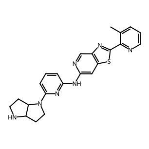 Cc1cccnc1-c1nc2cnc(Nc3cccc(N4CCC5NCCC54)n3)cc2s1